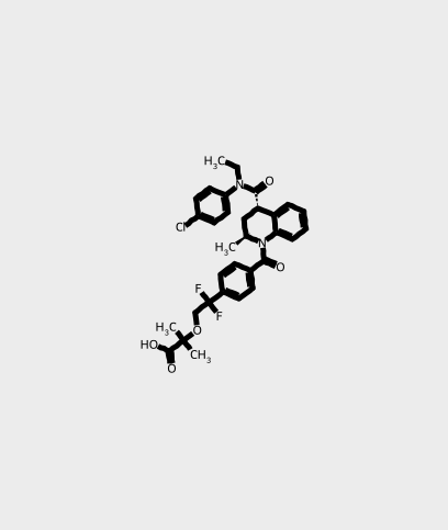 CCN(C(=O)[C@H]1C[C@H](C)N(C(=O)c2ccc(C(F)(F)COC(C)(C)C(=O)O)cc2)c2ccccc21)c1ccc(Cl)cc1